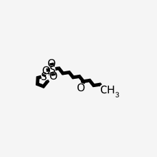 CCCCC(=O)CCCCCS(=O)(=O)O[S+]1CCCC1